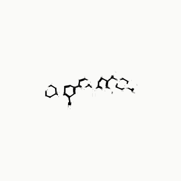 COc1nc(Nc2nccc(-c3ccc(OC4CCOCC4)c(C#N)c3)n2)ccc1C(=O)N1CCN(C(=O)O)CC1